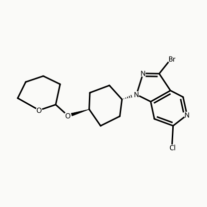 Clc1cc2c(cn1)c(Br)nn2[C@H]1CC[C@H](OC2CCCCO2)CC1